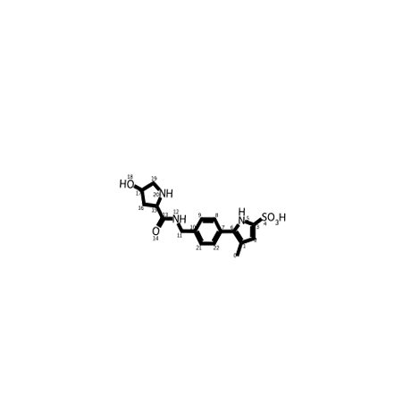 Cc1cc(S(=O)(=O)O)[nH]c1-c1ccc(CNC(=O)C2CC(O)CN2)cc1